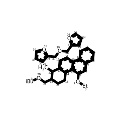 CCOc1cc2ccccc2c2ccc3c(c12)CCC(COC(C)CC)C3C.c1coc(COCc2ccco2)c1